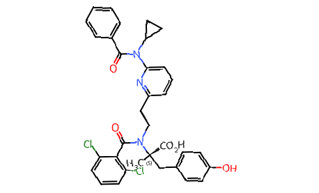 C[C@](Cc1ccc(O)cc1)(C(=O)O)N(CCc1cccc(N(C(=O)c2ccccc2)C2CC2)n1)C(=O)c1c(Cl)cccc1Cl